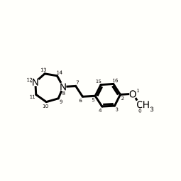 COc1ccc(CCN2CCC[N]CC2)cc1